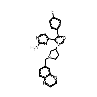 Nc1nccc(-c2c(-c3ccc(F)cc3)ncn2C2CCN(Cc3ccc4nccnc4c3)C2)n1